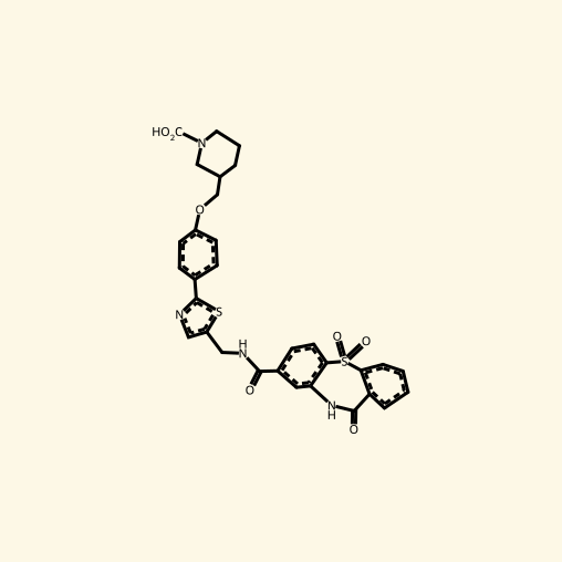 O=C(NCc1cnc(-c2ccc(OCC3CCCN(C(=O)O)C3)cc2)s1)c1ccc2c(c1)NC(=O)c1ccccc1S2(=O)=O